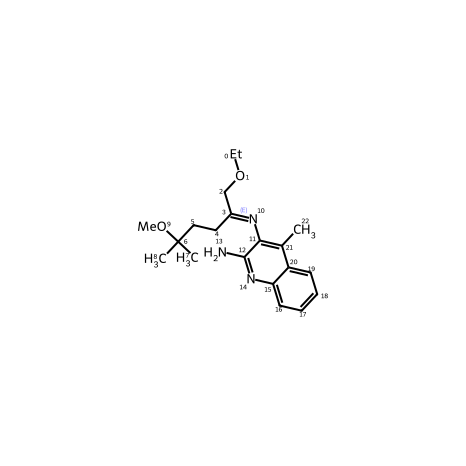 CCOC/C(CCC(C)(C)OC)=N/c1c(N)nc2ccccc2c1C